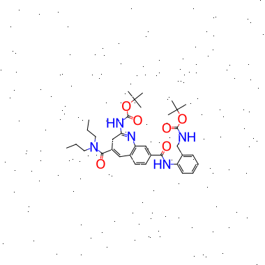 CCCN(CCC)C(=O)C1=Cc2ccc(C(=O)Nc3ccccc3CNC(=O)OC(C)(C)C)cc2N=C(NC(=O)OC(C)(C)C)C1